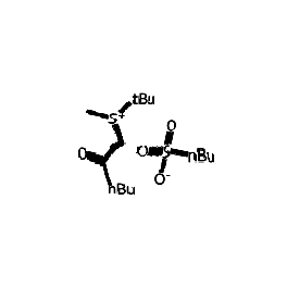 CCCCC(=O)C[S+](C)C(C)(C)C.CCCCS(=O)(=O)[O-]